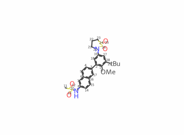 COc1c(-c2ccc3cc(NS(C)(=O)=O)ccc3c2)cc(N2CCCS2(=O)=O)cc1C(C)(C)C